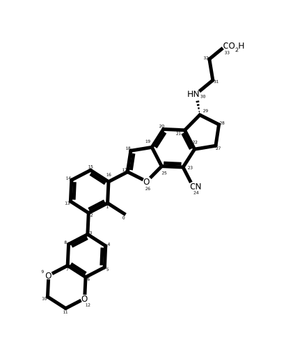 Cc1c(-c2ccc3c(c2)OCCO3)cccc1-c1cc2cc3c(c(C#N)c2o1)CC[C@H]3NCCC(=O)O